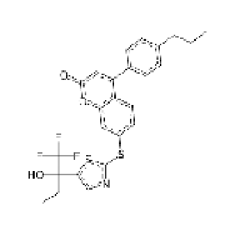 CCCc1ccc(-c2cc(=O)oc3cc(Sc4ncc(C(O)(CC)C(F)(F)F)s4)ccc23)cc1